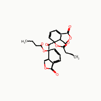 CCCC(=O)OC1(C(=O)C2(OC(=O)CCC)C=CC=C3C(=O)OCC32)C=CC=C2C(=O)OCC21